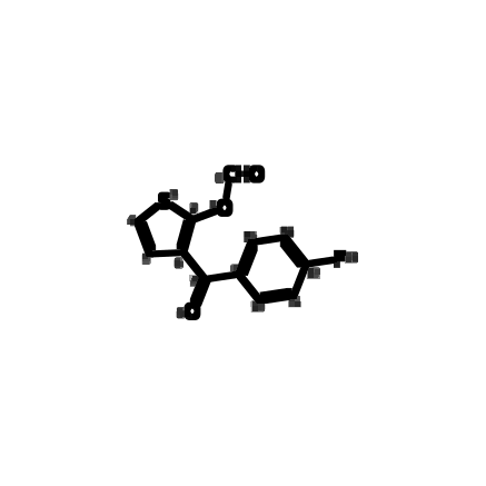 O=COc1sccc1C(=O)c1ccc(F)cc1